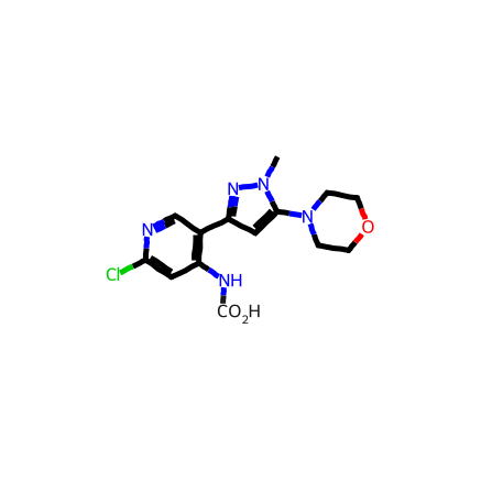 Cn1nc(-c2cnc(Cl)cc2NC(=O)O)cc1N1CCOCC1